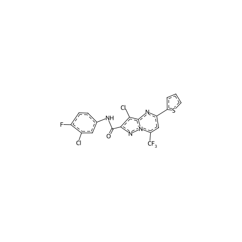 O=C(Nc1ccc(F)c(Cl)c1)c1nn2c(C(F)(F)F)cc(-c3cccs3)nc2c1Cl